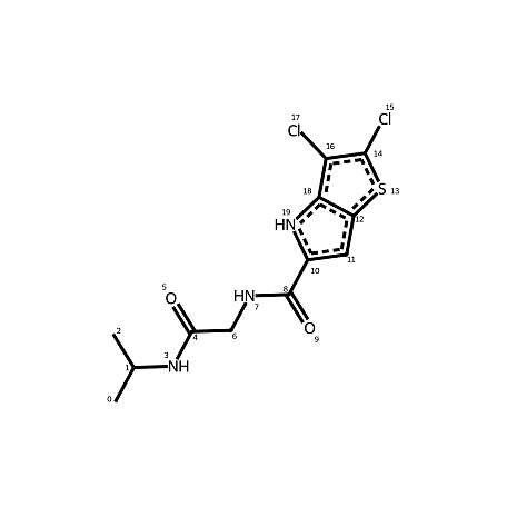 CC(C)NC(=O)CNC(=O)c1cc2sc(Cl)c(Cl)c2[nH]1